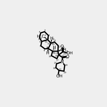 C[C@]12CCCCC1CC[C@@H]1[C@H]2CC[C@@]2(C)[C@H]1CCC2(C(=O)O)C(=O)N1CCC(O)CC1